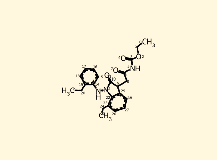 CCOC(=O)NC(=O)CC1C(=O)N(Nc2ccccc2CC)c2c(CC)cccc21